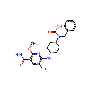 COc1nc(N[C@H]2CC[C@H](N(Cc3ccccc3)C(=O)O)CC2)c(C)cc1C(N)=O